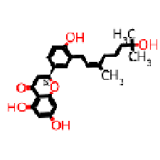 CC(=CCc1cc([C@@H]2CC(=O)c3c(O)cc(O)cc3O2)ccc1O)CCCC(C)(C)O